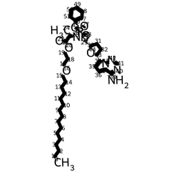 CCCCCCCCCCCCCCCCOCCCOC(=O)[C@H](C)NP(=O)(OC[C@@H]1CC[C@H](c2ccc3c(N)ncnn23)O1)Oc1ccccc1